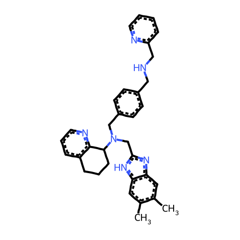 Cc1cc2nc(CN(Cc3ccc(CNCc4ccccn4)cc3)C3CCCc4cccnc43)[nH]c2cc1C